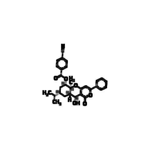 CC(C)[C@@H]1C[C@H](OC(=O)c2ccc(C#N)cc2)[C@@]2(C)Oc3cc(-c4ccccc4)oc(=O)c3[C@H](O)[C@@H]2C1